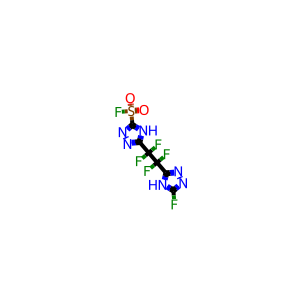 O=S(=O)(F)c1nnc(C(F)(F)C(F)(F)c2nnc(F)[nH]2)[nH]1